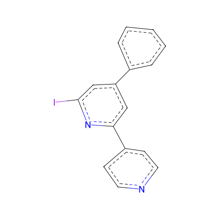 Ic1cc(-c2ccccc2)cc(-c2ccncc2)n1